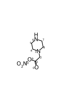 O=C(CN1CCNCC1)O[N+](=O)[O-]